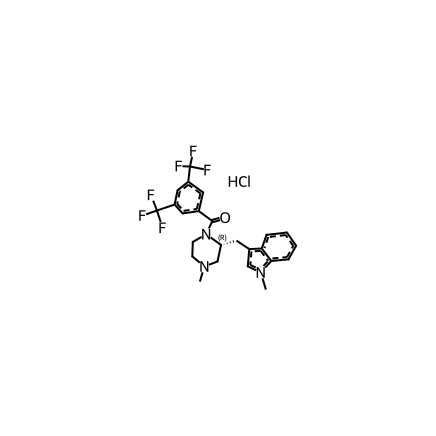 CN1CCN(C(=O)c2cc(C(F)(F)F)cc(C(F)(F)F)c2)[C@H](Cc2cn(C)c3ccccc23)C1.Cl